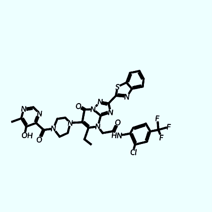 CCc1c(N2CCN(C(=O)c3ncnc(C)c3O)CC2)c(=O)n2nc(-c3nc4ccccc4s3)nc2n1CC(=O)Nc1ccc(C(F)(F)F)cc1Cl